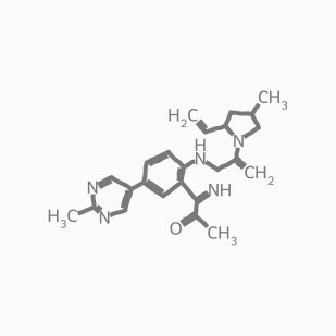 C=CC1CC(C)CN1C(=C)CNc1ccc(-c2cnc(C)nc2)cc1C(=N)C(C)=O